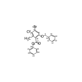 Cc1c(Cl)c(Br)cc(OCc2ccccc2)c1C(=O)Oc1ccccc1